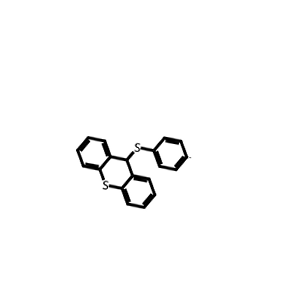 [c]1ccc(SC2c3ccccc3Sc3ccccc32)cc1